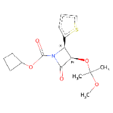 COC(C)(C)O[C@H]1C(=O)N(C(=O)OC2CCC2)[C@H]1c1cccs1